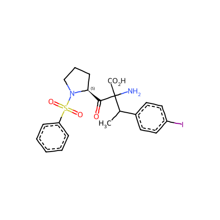 CC(c1ccc(I)cc1)C(N)(C(=O)O)C(=O)[C@@H]1CCCN1S(=O)(=O)c1ccccc1